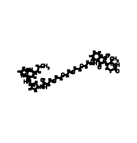 C=C1NC(=O)CCC1N1C(=O)c2cccc(NCCOCCOCCOCCOCCC(=O)N[C@@H]3CC[C@@H](Nc4cc(CCC)nc5ccnn45)C3)c2C1=O